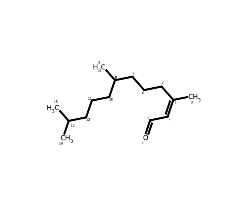 CC(=CC=O)CCCC(C)CCCC(C)C